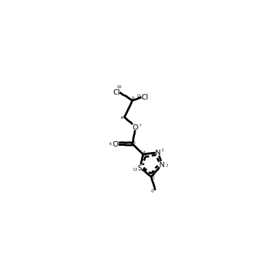 Cc1nnc(C(=O)OCC(Cl)Cl)s1